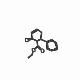 CCOC(=O)C1C(=O)C=CCC1c1ccccc1